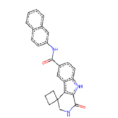 O=C(Nc1ccc2ccccc2c1)c1ccc2[nH]c3c(c2c1)C1(CCC1)CNC3=O